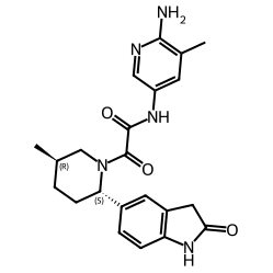 Cc1cc(NC(=O)C(=O)N2C[C@H](C)CC[C@H]2c2ccc3c(c2)CC(=O)N3)cnc1N